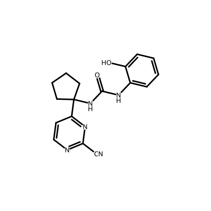 N#Cc1nccc(C2(NC(=O)Nc3ccccc3O)CCCC2)n1